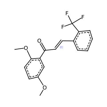 COc1ccc(OC)c(C(=O)/C=C/c2ccccc2C(F)(F)F)c1